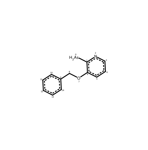 [AsH2]c1ncccc1OCc1ccccc1